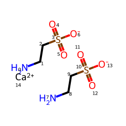 NCCS(=O)(=O)[O-].NCCS(=O)(=O)[O-].[Ca+2]